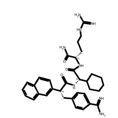 N=C(N)NCCC[C@H](NC(=O)[C@@H](NC(=O)[C@H](Cc1ccc(C(=N)N)cc1)c1ccc2ccccc2c1)C1CCCCC1)C(N)=O